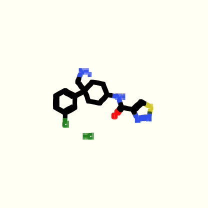 Cl.NCC1(c2cccc(Cl)c2)CCC(NC(=O)c2csnn2)CC1